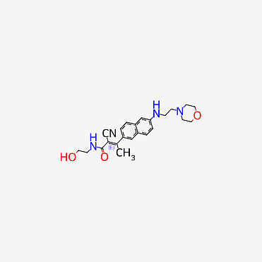 C/C(=C(/C#N)C(=O)NCCO)c1ccc2cc(NCCN3CCOCC3)ccc2c1